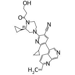 C=Cc1ccc2c(-c3cc(C#N)c(N4CCN(C(=O)CCO)[C@H](C5CC5)C4)nc3C3CC3)cncc2n1